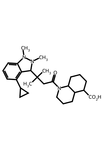 CN1c2cccc(C3CC3)c2C(C(C)(C)CC(=O)N2CCCC3C(C(=O)O)CCCC32)N1C